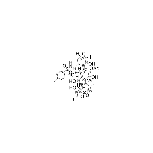 CC(=O)O[C@H]1[C@H]2[C@@H]([C@@H](O)[C@H](NS(=O)(=O)c3ccc(C)cc3)C3C[C@@H]4O[C@@H]4[C@H](O)[C@@]32C)[C@@H]2[C@@H](O)[C@@H]3[C@H]([C@H](C)[C@H]4O[C@]45OC(=O)[C@@](C)(O)[C@]35C)[C@@]2(C(C)=O)[C@H]1O